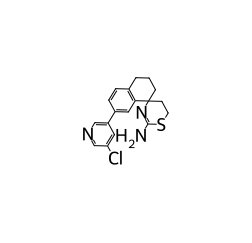 NC1=NC2(CCCc3ccc(-c4cncc(Cl)c4)cc32)CCS1